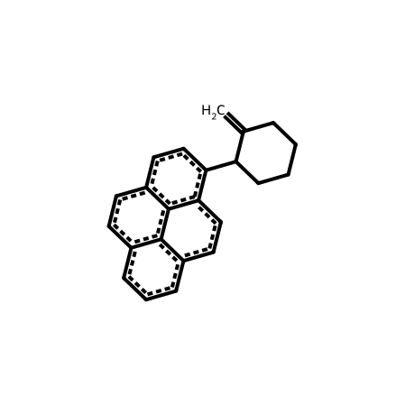 C=C1CCCCC1c1ccc2ccc3cccc4ccc1c2c34